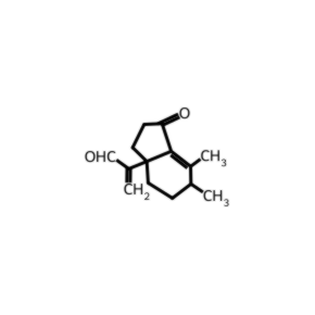 C=C(C=O)C12CCC(=O)C1=C(C)C(C)CC2